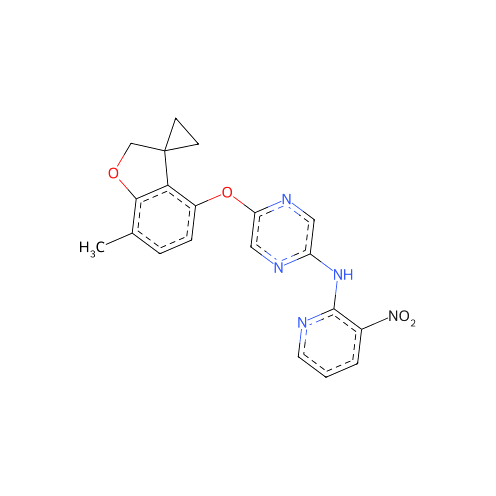 Cc1ccc(Oc2cnc(Nc3ncccc3[N+](=O)[O-])cn2)c2c1OCC21CC1